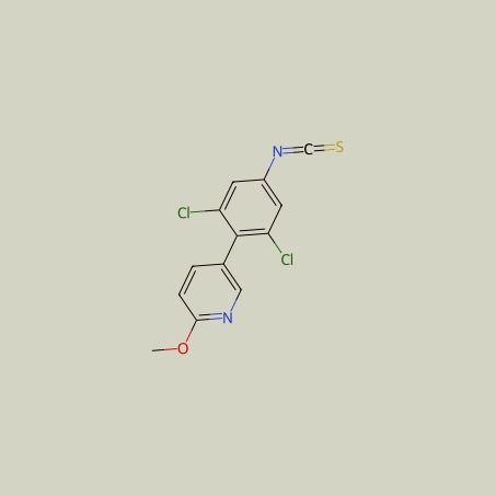 COc1ccc(-c2c(Cl)cc(N=C=S)cc2Cl)cn1